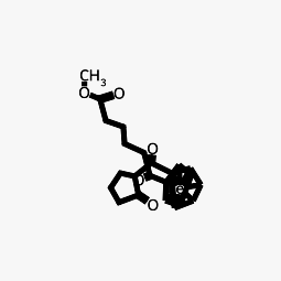 COC(=O)CCCCC(=O)[C]12[CH]3[CH]4[CH]5[CH]1[Fe]45321678[CH]2[CH]1[CH]6[C]7(C(=O)C1CCCC1=O)[CH]28